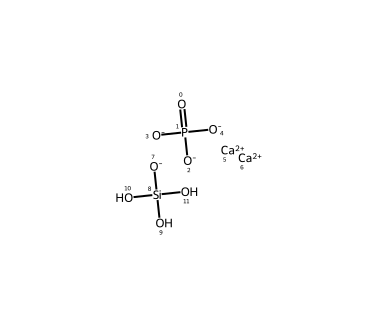 O=P([O-])([O-])[O-].[Ca+2].[Ca+2].[O-][Si](O)(O)O